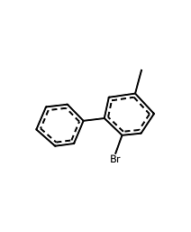 Cc1ccc(Br)c(-c2ccccc2)c1